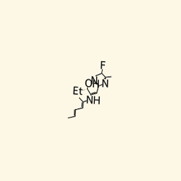 C/C=C/C=C(\C)N/C(=C/C1=NCC(F)C(C)=N1)[C@@H](O)CC